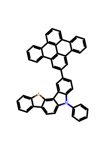 c1ccc(-n2c3ccc(-c4cc5c6ccccc6c6cccc7c8ccccc8c(c4)c5c67)cc3c3c4sc5ccccc5c4ccc32)cc1